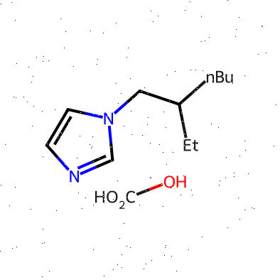 CCCCC(CC)Cn1ccnc1.O=C(O)O